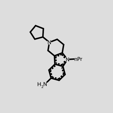 CCCn1c2c(c3cc(N)ccc31)CN(C1CCCC1)CC2